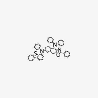 c1ccc(-c2nc3c(N(c4ccccc4)c4ccccc4)c4ccc(N(c5ccccc5)c5cccc6c5sc5ccccc56)cc4cc3o2)cc1